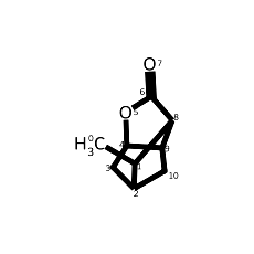 CC1C2CC3OC(=O)C1C3C2